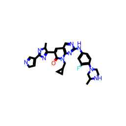 CC1CN(c2ccc(Nc3ncc4cc(C5=NC(C6=CCN=C6)=NC5C)c(=O)n(CC5CC5)c4n3)cc2F)CCN1